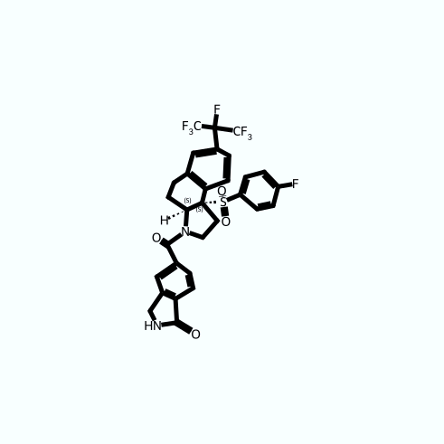 O=C1NCc2cc(C(=O)N3CC[C@]4(S(=O)(=O)c5ccc(F)cc5)c5ccc(C(F)(C(F)(F)F)C(F)(F)F)cc5CC[C@H]34)ccc21